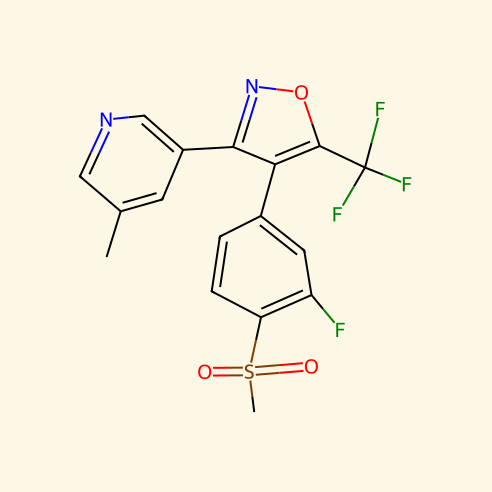 Cc1cncc(-c2noc(C(F)(F)F)c2-c2ccc(S(C)(=O)=O)c(F)c2)c1